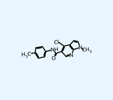 Cc1ccc(NC(=O)c2cnc3c(ccn3C)c2Cl)cc1